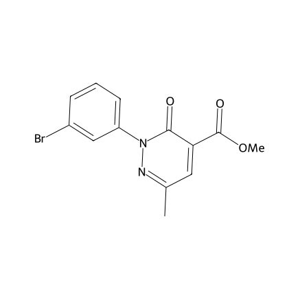 COC(=O)c1cc(C)nn(-c2cccc(Br)c2)c1=O